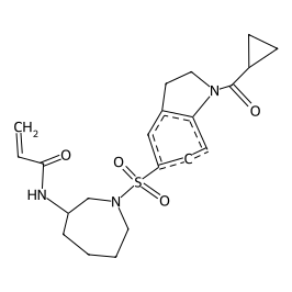 C=CC(=O)NC1CCCCN(S(=O)(=O)c2ccc3c(c2)CCN3C(=O)C2CC2)C1